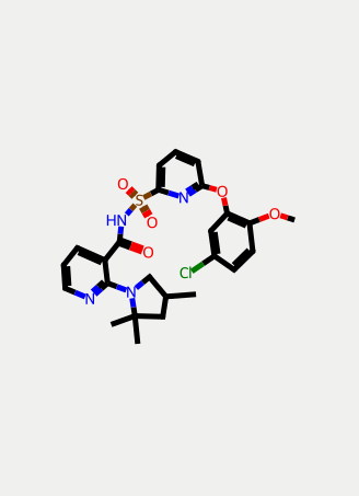 COc1ccc(Cl)cc1Oc1cccc(S(=O)(=O)NC(=O)c2cccnc2N2CC(C)CC2(C)C)n1